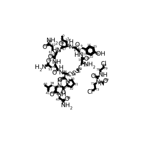 CC[C@H](C)[C@@H]1NC(=O)[C@H](Cc2ccc(O)cc2)NC(=O)[C@@H](N)CSSC[C@@H](C(=O)N2CCC[C@H]2C(=O)N[C@@H](CC(C)C)C(=O)NCC(N)=O)NC(=O)[C@H](CC(N)=O)NC(=O)[C@H](CCC(N)=O)NC1=O.O=NN(CCCl)C(=O)NCCCl